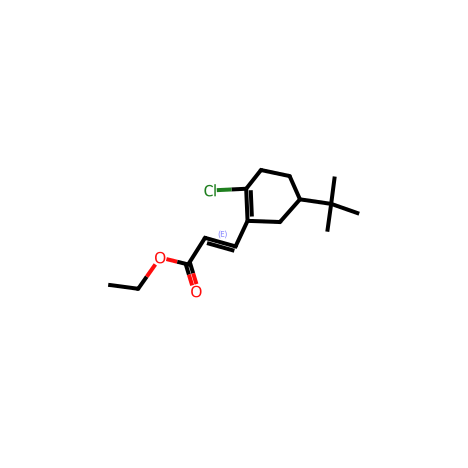 CCOC(=O)/C=C/C1=C(Cl)CCC(C(C)(C)C)C1